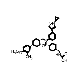 COc1ccc([C@H]2CC[C@H](CN(c3cccc(-c4cnn(C5CC5)c4)c3)C(=O)[C@H]3CC[C@H](CNC(=O)O)CC3)CC2)cc1C